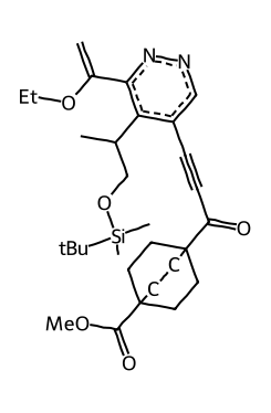 C=C(OCC)c1nncc(C#CC(=O)C23CCC(C(=O)OC)(CC2)CC3)c1C(C)CO[Si](C)(C)C(C)(C)C